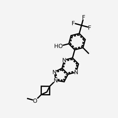 COC12CC(n3cc4ncc(-c5c(C)cc(C(F)(F)F)cc5O)nc4n3)(C1)C2